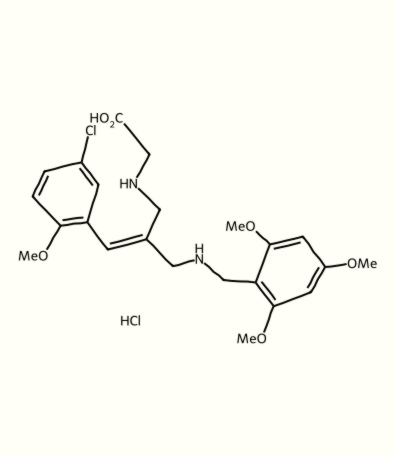 COc1cc(OC)c(CNCC(=Cc2cc(Cl)ccc2OC)CNCC(=O)O)c(OC)c1.Cl